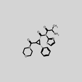 C[C@@H](N)C(=O)N(C(=O)[C@H]1C(C(=O)N2CCOCC2)[C@H]1c1ccccc1)c1nccs1